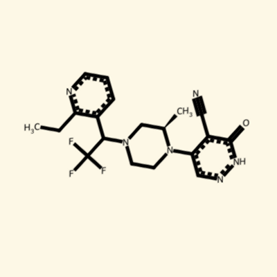 CCc1ncccc1C(N1CCN(c2cn[nH]c(=O)c2C#N)[C@H](C)C1)C(F)(F)F